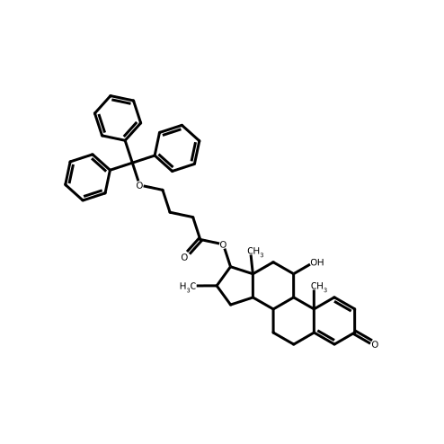 CC1CC2C3CCC4=CC(=O)C=CC4(C)C3C(O)CC2(C)C1OC(=O)CCCOC(c1ccccc1)(c1ccccc1)c1ccccc1